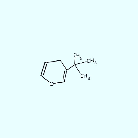 CC(C)(C)C1=COC=CC1